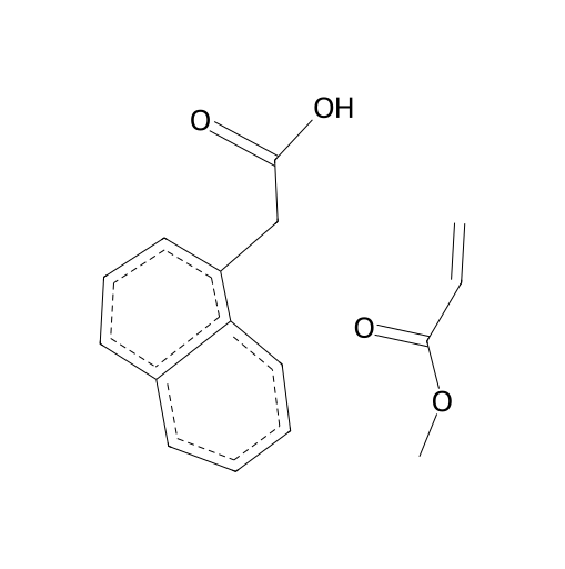 C=CC(=O)OC.O=C(O)Cc1cccc2ccccc12